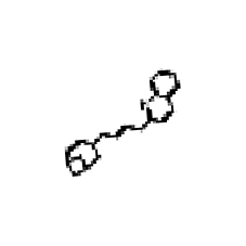 C1=CC2CC(CC1C/C=C/Cc1ccc3ccccc3n1)C2